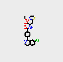 CCOC(=O)C(Cc1nccs1)NC(=O)c1ccc(C2=NCCc3ccc(Cl)cc32)cc1